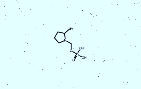 CC(C)C1CCCN1COP(=O)(O)O